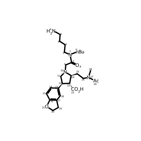 CCCCN(CCCCN)C(=O)CN1C[C@H](c2ccc3c(c2)CCO3)[C@@H](C(=O)O)[C@@H]1CCN(C)C(C)=O